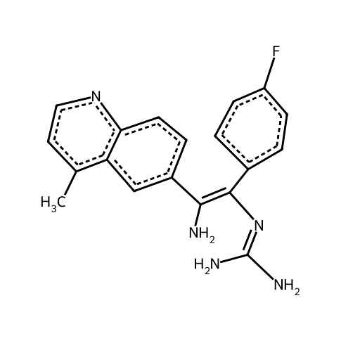 Cc1ccnc2ccc(/C(N)=C(/N=C(N)N)c3ccc(F)cc3)cc12